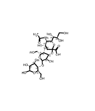 CC(=O)N[C@H]1[C@H]([C@H](O)[C@H](O)CO)OC(O[C@H]2[C@@H](O)[C@@H](CO)OC(O[C@H]3[C@H](O)[C@@H](O)C(O)O[C@@H]3CO)[C@@H]2O)(C(=O)O)C[C@@H]1O